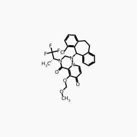 COCOc1c2n(ccc1=O)N([C@@H]1c3ccccc3CCc3cccc(Cl)c31)CN([C@H](C)C(F)(F)F)C2=O